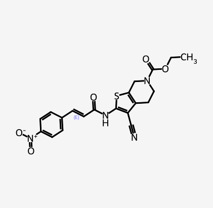 CCOC(=O)N1CCc2c(sc(NC(=O)/C=C/c3ccc([N+](=O)[O-])cc3)c2C#N)C1